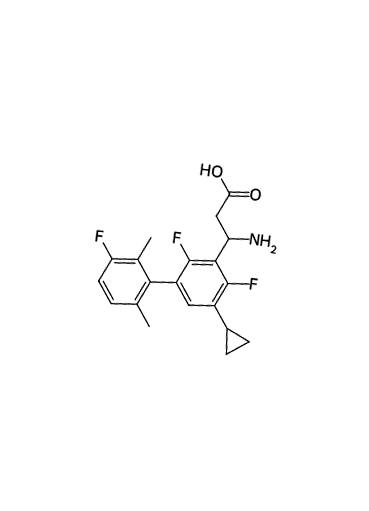 Cc1ccc(F)c(C)c1-c1cc(C2CC2)c(F)c(C(N)CC(=O)O)c1F